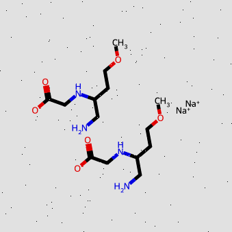 COCCC(CN)NCC(=O)[O-].COCCC(CN)NCC(=O)[O-].[Na+].[Na+]